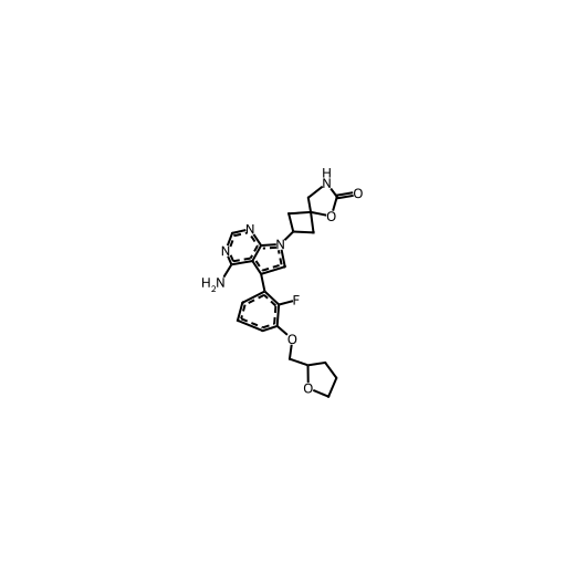 Nc1ncnc2c1c(-c1cccc(OCC3CCCO3)c1F)cn2C1CC2(CNC(=O)O2)C1